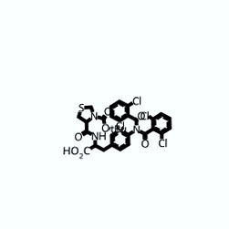 CC(C)(C)OC(=O)N1CSCC1C(=O)NC(Cc1ccc(N(C(=O)c2c(Cl)cccc2Cl)C(=O)c2c(Cl)cccc2Cl)nc1)C(=O)O